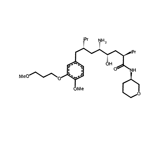 COCCCOc1cc(C[C@@H](C[C@H](N)[C@@H](O)C[C@H](C(=O)N[C@@H]2CCCOC2)C(C)C)C(C)C)ccc1OC